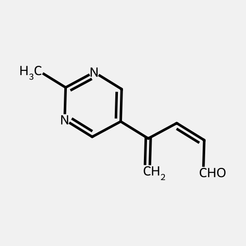 C=C(/C=C\C=O)c1cnc(C)nc1